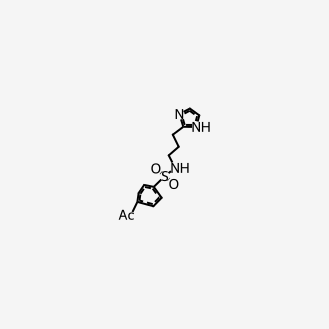 CC(=O)c1ccc(S(=O)(=O)NCCCc2ncc[nH]2)cc1